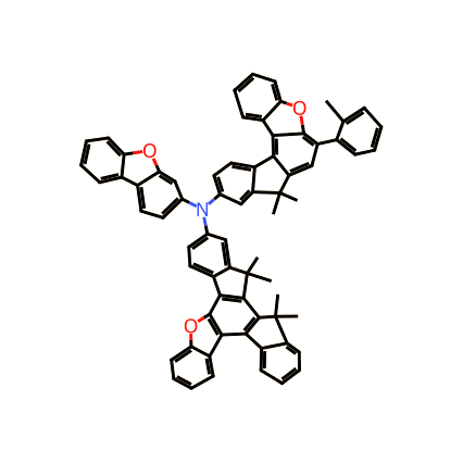 Cc1ccccc1-c1cc2c(c3c1oc1ccccc13)-c1ccc(N(c3ccc4c(c3)C(C)(C)c3c5c(c6c(oc7ccccc76)c3-4)-c3ccccc3C5(C)C)c3ccc4c(c3)oc3ccccc34)cc1C2(C)C